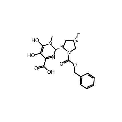 CN1C(O)=C(O)C(C(=O)O)=NC1[C@@H]1C[C@H](F)CN1C(=O)OCc1ccccc1